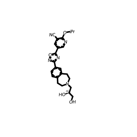 CC(C)Oc1ncc(-c2nc(-c3ccc4c(c3)CCN(C[C@H](O)CO)CC4)no2)cc1C#N